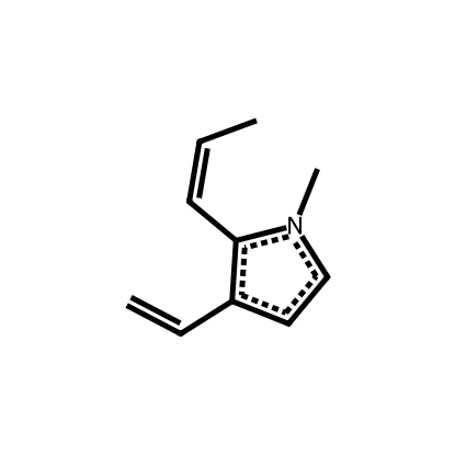 C=Cc1ccn(C)c1/C=C\C